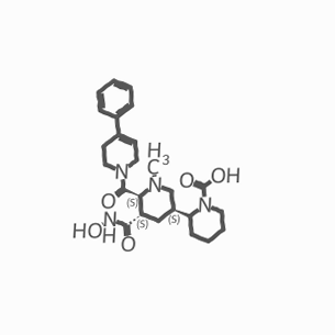 CN1C[C@@H](C2CCCCN2C(=O)O)C[C@H](C(=O)NO)[C@H]1C(=O)N1CC=C(c2ccccc2)CC1